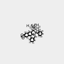 C=C(O[Si](C)(C)C)c1cc2cc3c(cc2cc1N(Cc1ccccc1)Cc1ccccc1)OCO3